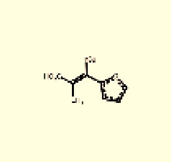 CCCCC(=C(C)C(=O)O)c1ccco1